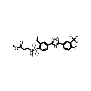 CCc1cc(-c2noc(-c3ccc(F)c(C(F)(F)F)c3)n2)ccc1S(=O)(=O)NCCC(=O)OC